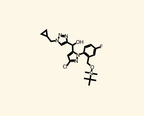 CC(C)(C)[Si](C)(C)OCc1cc(F)ccc1-n1nc(Cl)cc1C(O)c1cn(CC2CC2)nn1